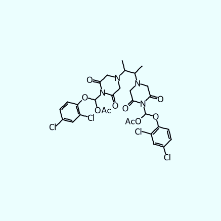 CC(=O)OC(Oc1ccc(Cl)cc1Cl)N1C(=O)CN(C(C)C(C)N2CC(=O)N(C(OC(C)=O)Oc3ccc(Cl)cc3Cl)C(=O)C2)CC1=O